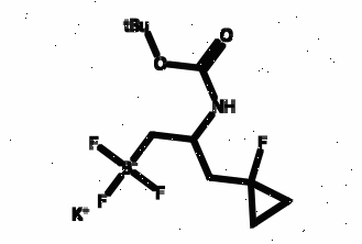 CC(C)(C)OC(=O)NC(C[B-](F)(F)F)CC1(F)CC1.[K+]